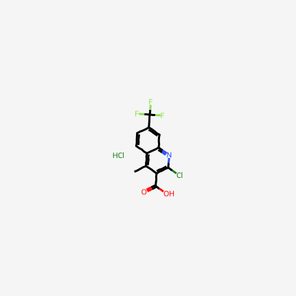 Cc1c(C(=O)O)c(Cl)nc2cc(C(F)(F)F)ccc12.Cl